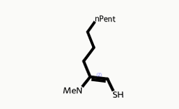 CCCCCCCC/C(=C/S)NC